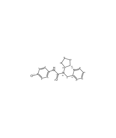 O=C(Nc1ccc(Cl)cc1)N(Cc1ccccn1)C1CCCC1